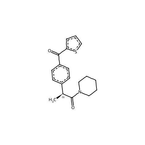 C[C@H](C(=O)N1CCCCC1)c1ccc(C(=O)c2cccs2)cc1